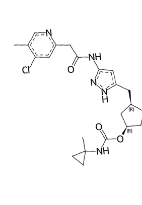 Cc1cnc(CC(=O)Nc2cc(C[C@H]3CC[C@@H](OC(=O)NC4(C)CC4)C3)[nH]n2)cc1Cl